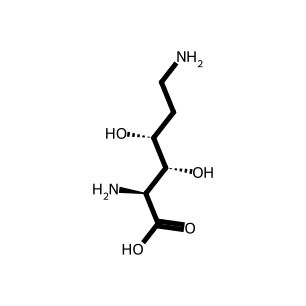 NCC[C@@H](O)[C@H](O)[C@H](N)C(=O)O